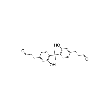 CC(C)(c1ccc(CCC=O)cc1O)c1ccc(CCC=O)cc1O